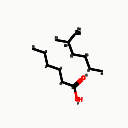 CCCCCC(=O)O.CCCC[CH](C)[Zn]